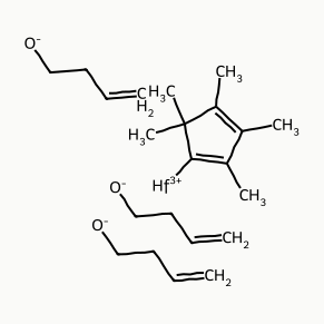 C=CCC[O-].C=CCC[O-].C=CCC[O-].CC1=C(C)C(C)(C)[C]([Hf+3])=C1C